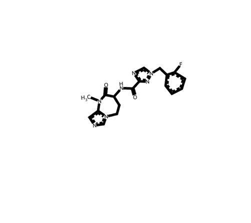 CN1C(=O)C(NC(=O)c2ncn(Cc3ccccc3F)n2)CCn2cncc21